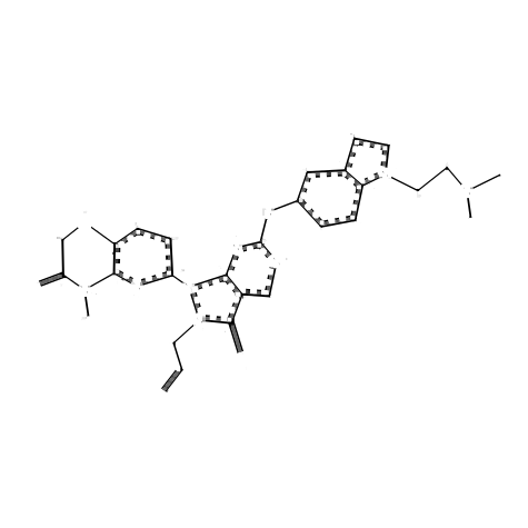 C=CCn1c(=O)c2cnc(Nc3ccc4c(ccn4CCN(C)C)c3)nc2n1-c1ccc2c(n1)N(C)C(=O)CO2